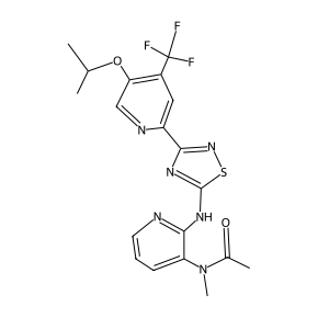 CC(=O)N(C)c1cccnc1Nc1nc(-c2cc(C(F)(F)F)c(OC(C)C)cn2)ns1